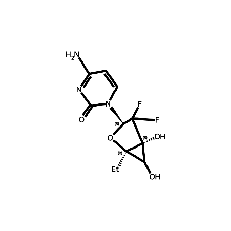 CC[C@]12O[C@@H](n3ccc(N)nc3=O)C(F)(F)[C@@]1(O)C2O